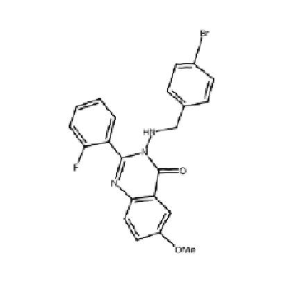 COc1ccc2nc(-c3ccccc3F)n(NCc3ccc(Br)cc3)c(=O)c2c1